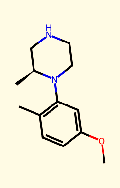 COc1ccc(C)c(N2CCNC[C@@H]2C)c1